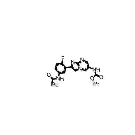 CCC(C)C(=O)Nc1ccc(F)c(-c2cn3cc(NC(=O)OC(C)C)cnc3n2)c1